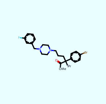 COC(=O)C(CCCN1CCN(Cc2cccc(F)c2)CC1)(c1ccc(Br)cc1)C(C)C